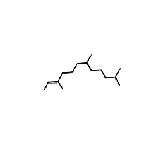 [CH2]/C=C(\C)CCCC(C)CCCC(C)C